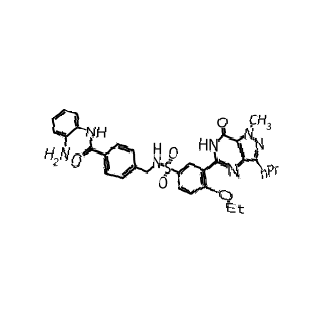 CCCc1nn(C)c2c(=O)[nH]c(-c3cc(S(=O)(=O)NCc4ccc(C(=O)Nc5ccccc5N)cc4)ccc3OCC)nc12